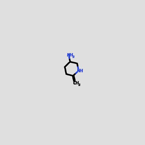 C=C1CCC(N)CN1